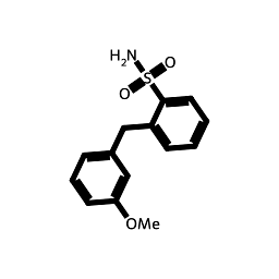 COc1cccc(Cc2ccccc2S(N)(=O)=O)c1